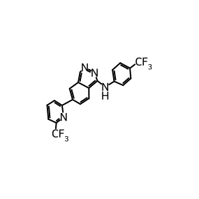 FC(F)(F)c1ccc(Nc2nncc3cc(-c4cccc(C(F)(F)F)n4)ccc23)cc1